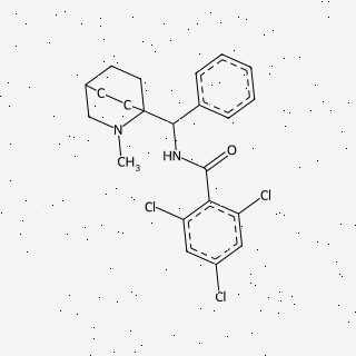 CN1CC2CCC1(C(NC(=O)c1c(Cl)cc(Cl)cc1Cl)c1ccccc1)CC2